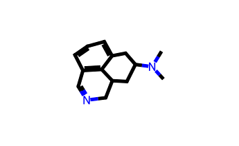 CN(C)C1Cc2cccc3c2C(CN=C3)C1